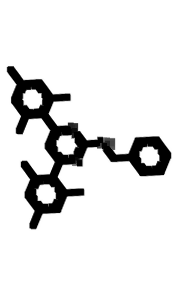 Cc1cc(C)c(-c2cc(-c3c(C)cc(C)cc3C)nc(NCc3ccccc3)n2)c(C)c1